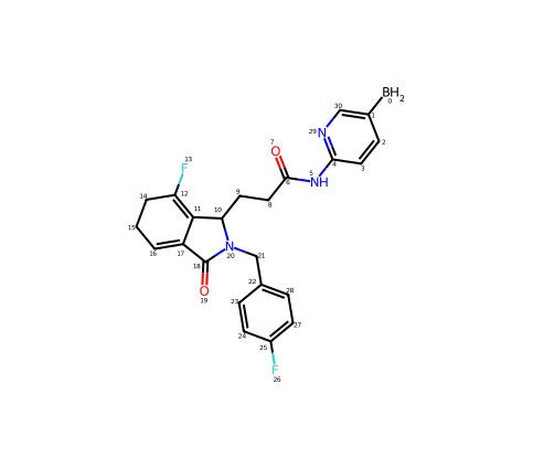 Bc1ccc(NC(=O)CCC2C3=C(F)CCC=C3C(=O)N2Cc2ccc(F)cc2)nc1